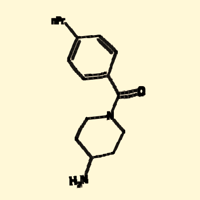 CCCc1ccc(C(=O)N2CCC(N)CC2)cc1